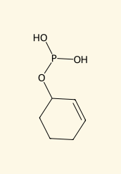 OP(O)OC1C=CCCC1